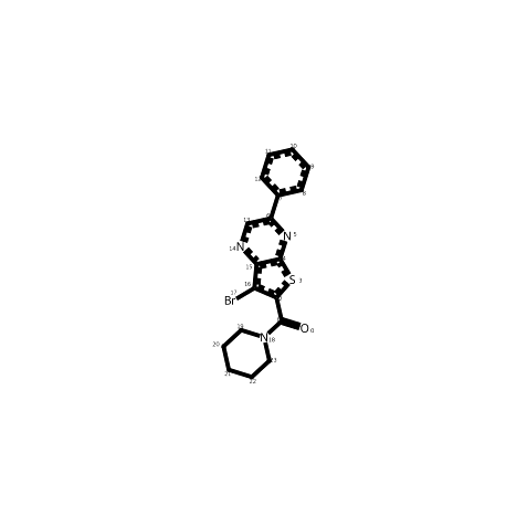 O=C(c1sc2nc(-c3ccccc3)cnc2c1Br)N1CCCCC1